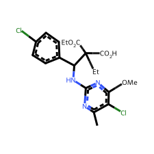 CCOC(=O)C(CC)(C(=O)O)C(Nc1nc(C)c(Cl)c(OC)n1)c1ccc(Cl)cc1